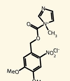 COc1cc(COC(=O)[N+]2(C)C=CN=C2)c([N+](=O)[O-])cc1OC.[Cl-]